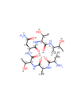 CCC(C)C(N)C(=O)N[C@H](C(=O)N[C@H](C(=O)N[C@@H](CC(N)=O)C(=O)N[C@H](C(=O)N[C@H](C(=O)O)C(C)O)C(C)O)C(C)O)C(C)C